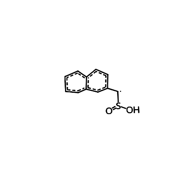 O=S(O)[CH]c1ccc2ccccc2c1